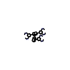 C/C=C\c1cc(/C=C\C)cc(C23CC4CC(C2)CC(C25CC6CC(c7cc(/C=C\C)cc(/C=C\C)c7)(CC(c7cc(/C=C\C)cc(/C=C\C)c7)(C6)C2)C5)(C4)C3)c1